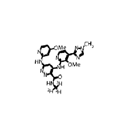 [2H]C([2H])([2H])NC(=O)c1nnc(Nc2cc(OC)ccn2)cc1Nc1nccc(-c2ncn(C)n2)c1OC